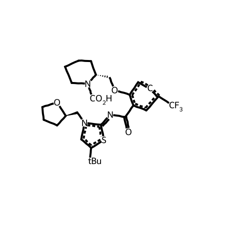 CC(C)(C)c1cn(C[C@H]2CCCO2)/c(=N/C(=O)c2cc(C(F)(F)F)ccc2OC[C@H]2CCCCN2C(=O)O)s1